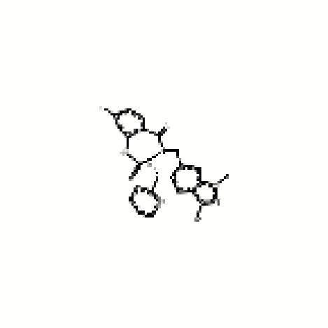 Cn1nc(Br)c2ccc(CN3C(=O)c4ccc(Cl)cc4NC(=O)[C@H]3Cc3ccccn3)cc21